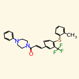 Cc1ccccc1Sc1ccc(C=CC(=O)N2CCN(c3ccccc3)CC2)cc1C(F)(F)F